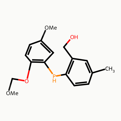 COCOc1ccc(OC)cc1Pc1ccc(C)cc1CO